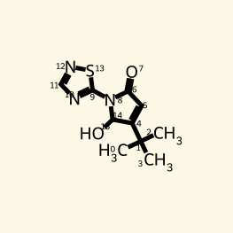 CC(C)(C)C1=CC(=O)N(c2ncns2)C1O